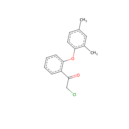 Cc1ccc(Oc2ccccc2C(=O)CCl)c(C)c1